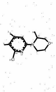 Cc1c(I)cc(N2CCOCC2C)nc1Cl